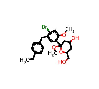 CCc1ccc(Cc2cc(C3(OC)CC(O)CC(CO)O3)c(OC)cc2Br)cc1